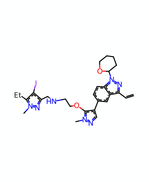 C=Cc1nn(C2CCCCO2)c2ccc(-c3cnn(C)c3OCCNCc3nn(C)c(CC)c3I)cc12